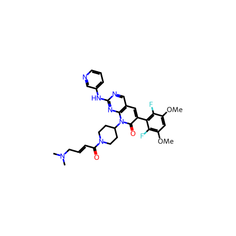 COc1cc(OC)c(F)c(-c2cc3cnc(Nc4cccnc4)nc3n(C3CCN(C(=O)/C=C/CN(C)C)CC3)c2=O)c1F